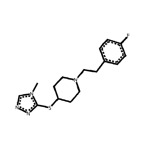 Cn1cnnc1SC1CCN(CCc2ccc(F)cc2)CC1